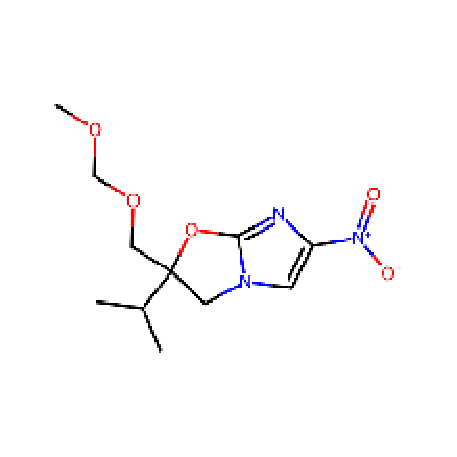 COCOCC1(C(C)C)Cn2cc([N+](=O)[O-])nc2O1